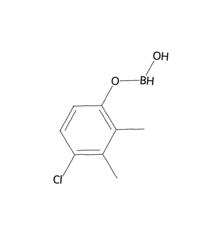 Cc1c(Cl)ccc(OBO)c1C